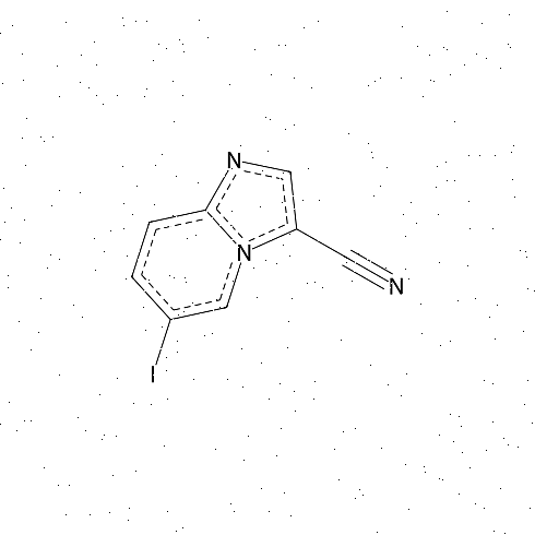 N#Cc1cnc2ccc(I)cn12